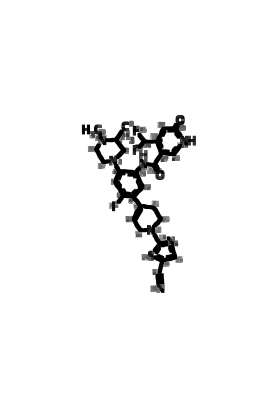 CC1CN(c2cc(F)c(C3=CCN(c4ncc(C#N)s4)CC3)cc2NC(=O)c2c[nH]c(=O)cc2C(F)F)CCN1C